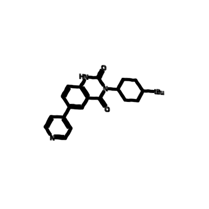 CC(C)(C)C1CCC(n2c(=O)[nH]c3ccc(-c4ccncc4)cc3c2=O)CC1